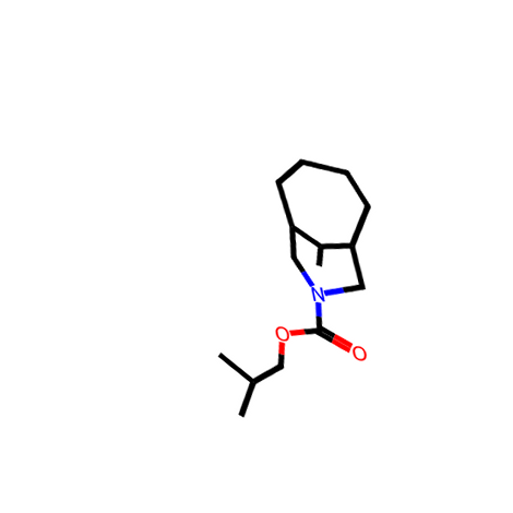 CC(C)COC(=O)N1CC2CCCCC(C1)C2C